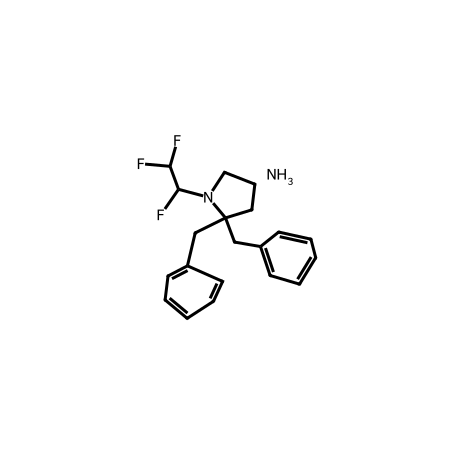 FC(F)C(F)N1CCCC1(Cc1ccccc1)Cc1ccccc1.N